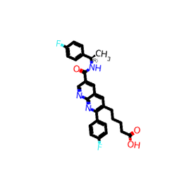 C[C@@H](NC(=O)c1cnc2nc(-c3ccc(F)cc3)c(CCCCC(=O)O)cc2c1)c1ccc(F)cc1